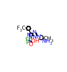 CC1(N)CCN(c2cnc3c(-c4cccc(C(F)(F)F)c4)n[nH]c3n2)CC1.O=C(O)C(F)(F)F